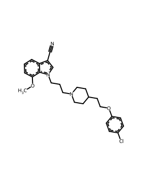 COc1cccc2c(C#N)cn(CCCN3CCC(CCOc4ccc(Cl)cc4)CC3)c12